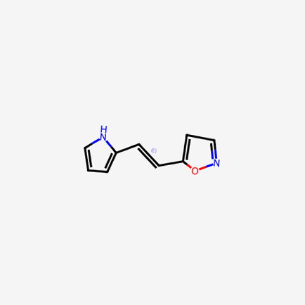 C(=C\c1ccno1)/c1ccc[nH]1